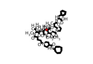 CC[C@H](C)[C@@H]([C@@H](CC(=O)N1CCC[C@H]1[C@H](OC)[C@@H](C)C(=O)N[C@@H](Cc1ccccc1)C(=O)O)OC)N(C)C(=O)[C@@H](NC(=O)[C@H](C(C)C)N(C)C(=O)CCCC(=O)N1CCC(C(=O)NC2=C/C=C\C=C/C=C\2)CC1)C(C)C